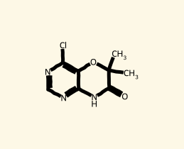 CC1(C)Oc2c(Cl)ncnc2NC1=O